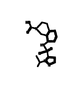 CC(C)n1nccc1S(=O)(=O)Nc1cccc2c1CN(C(=O)O)CC2